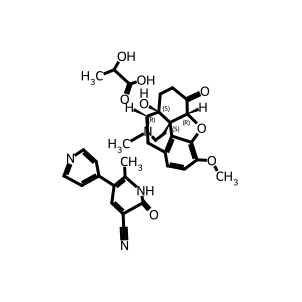 CC(O)C(=O)O.COc1ccc2c3c1O[C@H]1C(=O)CC[C@@]4(O)[C@@H](C2)N(C)CC[C@]314.Cc1[nH]c(=O)c(C#N)cc1-c1ccncc1